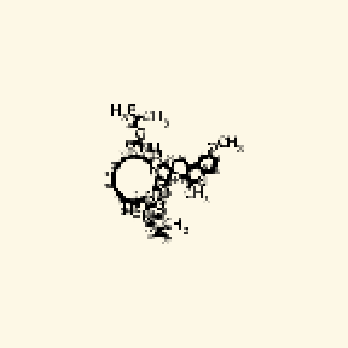 COc1ccc2nc(C)c3c(c2c1)CC[C@]1(C[C@H]2C(=O)N[C@]4(C(=O)NS(=O)(=O)C5(C)CC5)C[C@H]4/C=C\CCCCC[C@H](NC(=O)OCC(C)C)C(=O)N2C1)O3